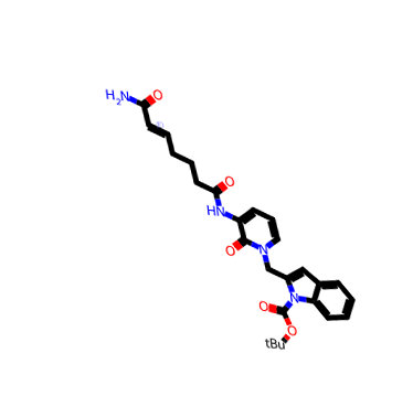 CC(C)(C)OC(=O)n1c(Cn2cccc(NC(=O)CCC/C=C/C(N)=O)c2=O)cc2ccccc21